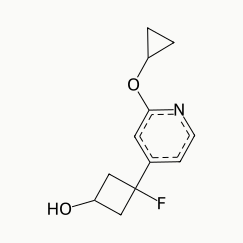 OC1CC(F)(c2ccnc(OC3CC3)c2)C1